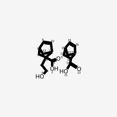 O=C(O)C1(CCO)CC2C=CC1C2.O=C(O)C1CC2C=CC1C2